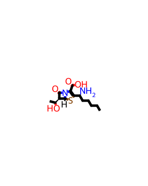 CCCCC[C@@H](N)C1=C(C(=O)O)N2C(=O)[C@H](C(C)O)[C@H]2S1